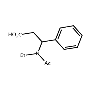 CCN(C(C)=O)C(CC(=O)O)c1ccccc1